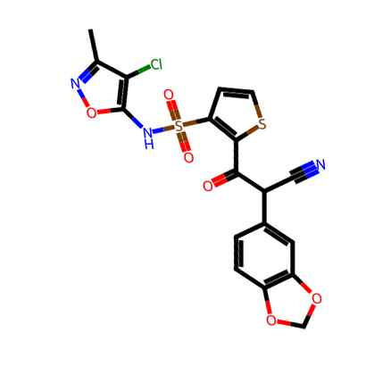 Cc1noc(NS(=O)(=O)c2ccsc2C(=O)C(C#N)c2ccc3c(c2)OCO3)c1Cl